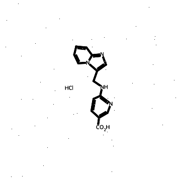 Cl.O=C(O)c1ccc(NCc2cnc3ccccn23)nc1